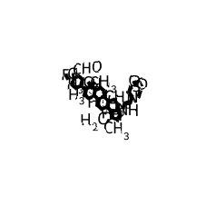 C=C(C)[C@@H]1CC[C@]2(NCCN3CCS(=O)(=O)CC3)CC[C@]3(C)[C@H](CC[C@@H]4[C@@]5(C)CC=C(C6=CC[C@](CF)(OC=O)CC6)C(C)(C)[C@@H]5CC[C@]43C)[C@@H]12